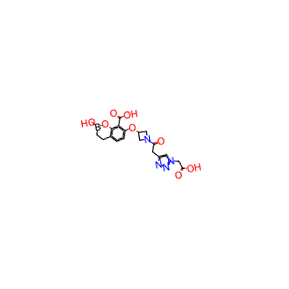 O=C(O)Cn1cc(CC(=O)N2CC(Oc3ccc4c(c3C(=O)O)OB(O)CC4)C2)nn1